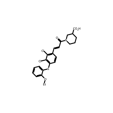 CCOc1ccccc1Sc1ccc(C=CC(=O)N2CCCC(C(=O)O)C2)c(Cl)c1Cl